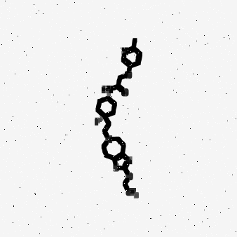 Cc1ccc(OCC(=O)N[C@H]2CC[C@](F)(CCN3CCc4nc(OCC(F)(F)F)sc4CC3)CC2)cn1